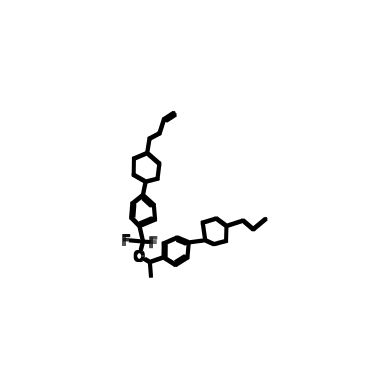 C=CCCC1CCC(c2ccc(C(F)(F)OC(C)c3ccc(C4CCC(CCC)CC4)cc3)cc2)CC1